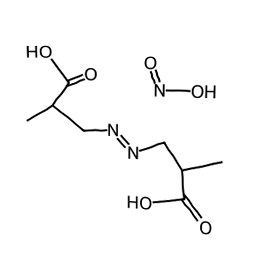 CC(CN=NCC(C)C(=O)O)C(=O)O.O=NO